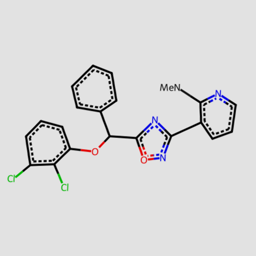 CNc1ncccc1-c1noc(C(Oc2cccc(Cl)c2Cl)c2ccccc2)n1